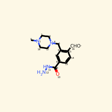 CN1CCN(Cc2cc(C(=O)NN)ccc2[C]=O)CC1